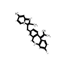 C/C(C#N)=C1/c2ccc(Cc3c(C)nc4cc(Br)ccn34)cc2COc2cc(F)ccc21